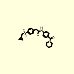 O=C(Cc1ccc(S(=O)(=O)CC2CC2)cc1)Nc1ccc(C(=O)N2CCCCC2)cc1